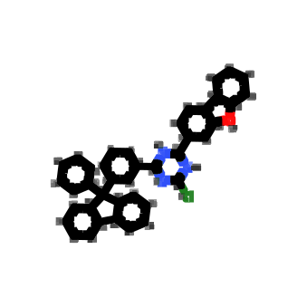 Clc1nc(-c2cccc(C3(c4ccccc4)c4ccccc4-c4ccccc43)c2)nc(-c2ccc3c(c2)oc2ccccc23)n1